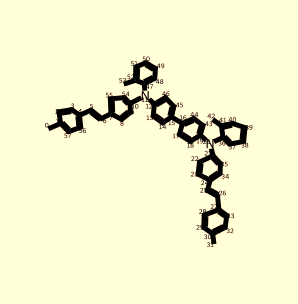 Cc1ccc(/C=C/c2ccc(N(c3ccc(-c4ccc(N(c5ccc(/C=C/c6ccc(C)cc6)cc5)c5ccccc5C)cc4)cc3)c3ccccc3C)cc2)cc1